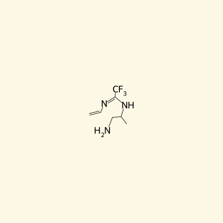 C=C/N=C(\NC(C)CN)C(F)(F)F